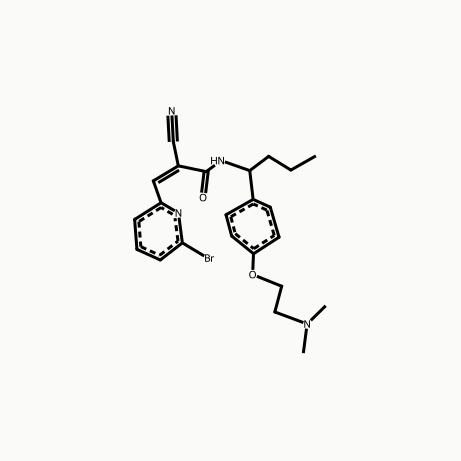 CCCC(NC(=O)C(C#N)=Cc1cccc(Br)n1)c1ccc(OCCN(C)C)cc1